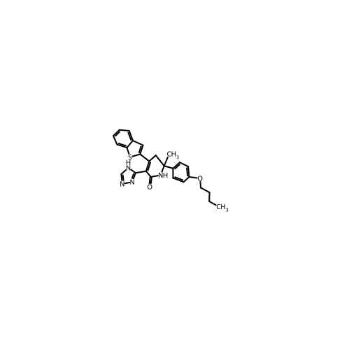 CCCCOc1ccc(C2(C)CC(c3cc4ccccc4s3)=C(c3nnc[nH]3)C(=O)N2)cc1